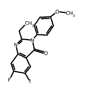 CCc1nc2cc(F)c(I)cc2c(=O)n1-c1ccc(OC)cc1